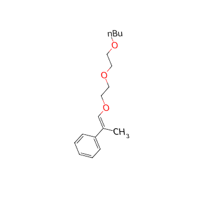 CCCCOCCOCCOC=C(C)c1ccccc1